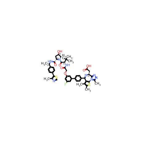 Cc1ncsc1-c1ccc([C@H](C)NC(=O)[C@@H]2C[C@@H](O)CN2C(=O)[C@@H](NC(=O)COc2cc(F)cc(-c3ccc(C4=N[C@@H](CC(=O)O)c5nnc(C)n5-c5sc(C)c(C)c54)cc3)c2)C(C)(C)C)cc1